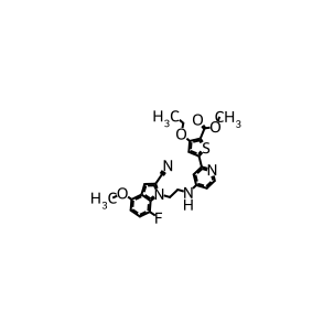 CCOc1cc(-c2cc(NCCn3c(C#N)cc4c(OC)ccc(F)c43)ccn2)sc1C(=O)OC